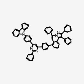 c1ccc(-c2nc(-c3ccc(-c4cccc5c4cc(-c4ccccc4)n4nc(-c6ccccc6)c(-c6ccccc6)c54)cc3)cc(-c3ccc(-n4c5ccccc5c5ccccc54)cc3)n2)cc1